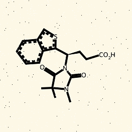 CN1C(=O)N([C@H](CCC(=O)O)c2scc3ccccc23)C(=O)C1(C)C